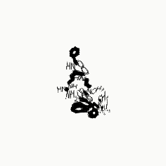 C/C=C(\OC(=O)N(C)CCCNC(=O)C(CCCNC(=N)N)NC(=O)c1ccccc1)C(CC(C)N(C)C)(c1ccccc1)c1ccccc1